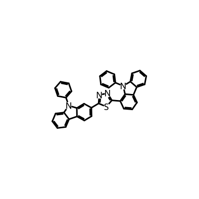 c1ccc(-n2c3ccccc3c3ccc(-c4nnc(-c5cccc6c7ccccc7n(-c7ccccc7)c56)s4)cc32)cc1